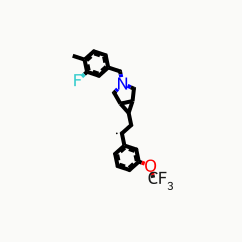 Cc1ccc(CN2CC3C(C[CH]c4cccc(OC(F)(F)F)c4)C3C2)cc1F